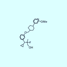 COc1cc(C2CCC(COc3cccc([C@H](C4CC4)C(C)(F)CO)c3)CC2)ccn1